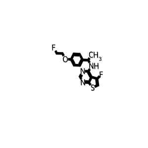 CC(Nc1ncnc2scc(F)c12)c1ccc(OCCF)cc1